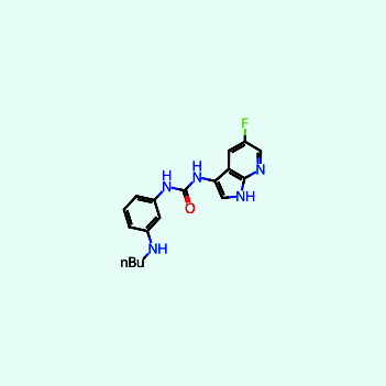 CCCCNc1cccc(NC(=O)Nc2c[nH]c3ncc(F)cc23)c1